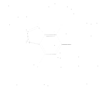 Clc1cc(I)c2[nH]ncc2c1Br